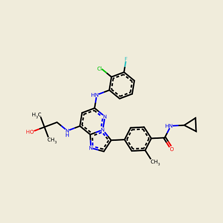 Cc1cc(-c2cnc3c(NCC(C)(C)O)cc(Nc4cccc(F)c4Cl)nn23)ccc1C(=O)NC1CC1